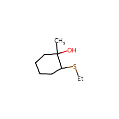 CCSC1C[CH]CCC1(C)O